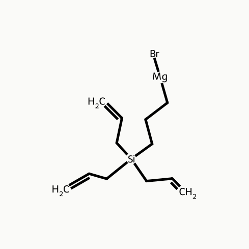 C=CC[Si](CC=C)(CC=C)CC[CH2][Mg][Br]